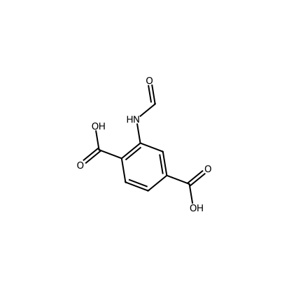 O=CNc1cc(C(=O)O)ccc1C(=O)O